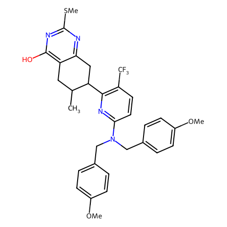 COc1ccc(CN(Cc2ccc(OC)cc2)c2ccc(C(F)(F)F)c(C3Cc4nc(SC)nc(O)c4CC3C)n2)cc1